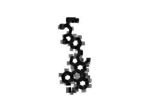 COC(=O)CC1COc2cc(O[C@@H]3CCc4c(-c5cccnc5-c5c(C)cccc5C)ccc(F)c43)ccc21